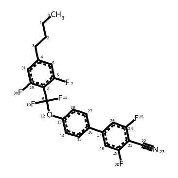 CCCCc1cc(F)c(C(F)(F)Oc2ccc(-c3cc(F)c(C#N)c(F)c3)cc2)c(F)c1